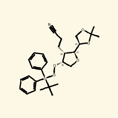 CC1(C)OC[C@H]([C@H]2OC[C@H](OO[Si](c3ccccc3)(c3ccccc3)C(C)(C)C)[C@@H]2CCC#N)O1